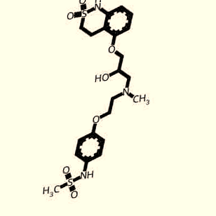 CN(CCOc1ccc(NS(C)(=O)=O)cc1)CC(O)COc1cccc2c1CCS(=O)(=O)N2